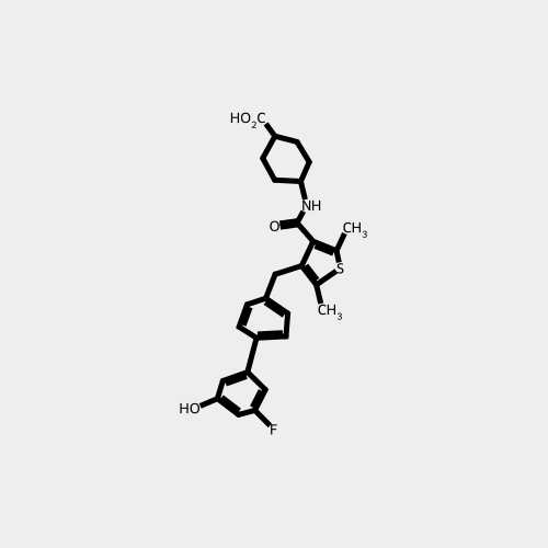 Cc1sc(C)c(C(=O)NC2CCC(C(=O)O)CC2)c1Cc1ccc(-c2cc(O)cc(F)c2)cc1